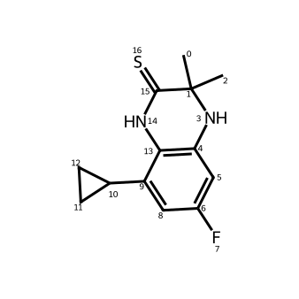 CC1(C)Nc2cc(F)cc(C3CC3)c2NC1=S